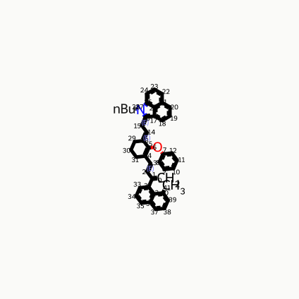 C=C(/C=C/C1=C(Oc2ccccc2)C(=C/C=c2\c3cccc4cccc(c43)n2CCCC)/CCC1)c1cccc2cccc(C)c12